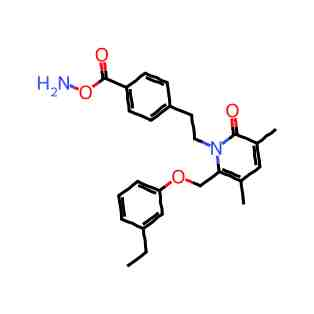 CCc1cccc(OCc2c(C)cc(C)c(=O)n2CCc2ccc(C(=O)ON)cc2)c1